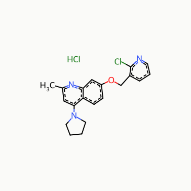 Cc1cc(N2CCCC2)c2ccc(OCc3cccnc3Cl)cc2n1.Cl